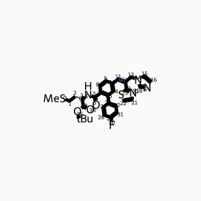 CSCC[C@H](NC(=O)c1ccc(/C=C(/Cn2ccnc2)c2nccs2)cc1-c1ccc(F)cc1)C(=O)OC(C)(C)C